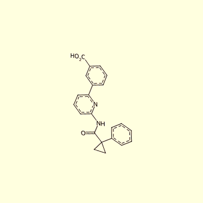 O=C(O)c1cccc(-c2cccc(NC(=O)C3(c4ccccc4)CC3)n2)c1